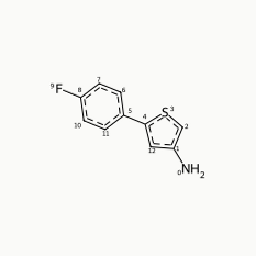 Nc1csc(-c2ccc(F)cc2)c1